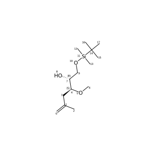 C=C(C)C[C@H](OC)[C@H](O)CO[Si](C)(C)C(C)(C)C